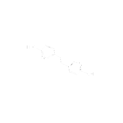 Cc1ccc(CCc2ccc(C)nc2)cn1